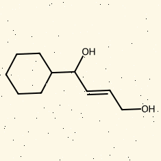 OCC=CC(O)C1CCCCC1